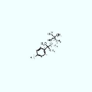 Cc1ccc(C(C)(C)[S@@+]([O-])N[Si](C)(C)C(C)(C)C)cc1